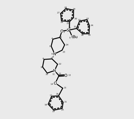 CC(C)(C)[Si](OC1CCN([C@H]2CCCN(C(=O)OCc3ccccc3)C2)CC1)(c1ccccc1)c1ccccc1